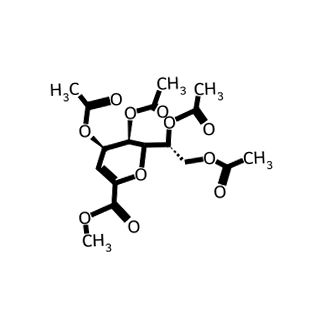 COC(=O)C1=C[C@@H](OC(C)=O)[C@@H](OC(C)=O)C([C@@H](COC(C)=O)OC(C)=O)O1